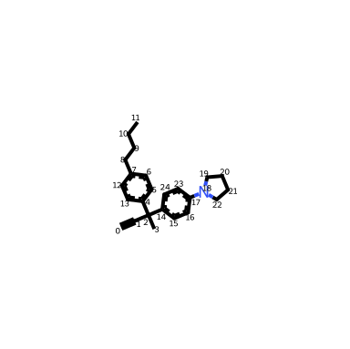 C#CC(C)(c1ccc(CCCC)cc1)c1ccc(N2CCCC2)cc1